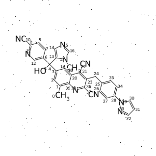 Cc1cc(C(O)(c2ccc(C#N)nc2)c2cncn2C)cc2c(C#N)c(Cc3ccc(-n4cccn4)cc3)c(C#N)nc12